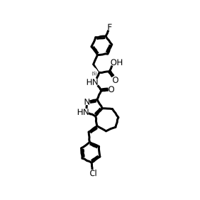 O=C(N[C@@H](Cc1ccc(F)cc1)C(=O)O)c1n[nH]c2c1CCCCC2=Cc1ccc(Cl)cc1